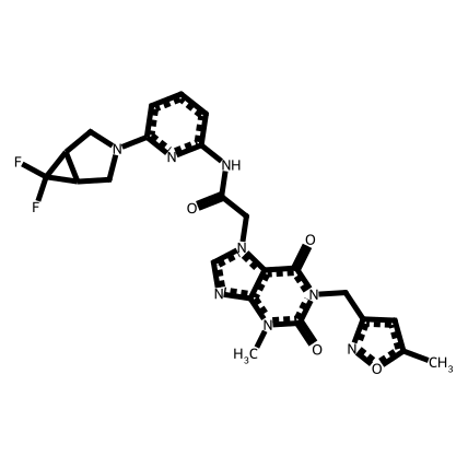 Cc1cc(Cn2c(=O)c3c(ncn3CC(=O)Nc3cccc(N4CC5C(C4)C5(F)F)n3)n(C)c2=O)no1